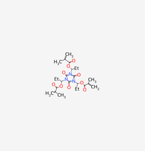 C=C(C)C(=O)OC(CC)n1c(=O)n(C(CC)OC(=O)C(=C)C)c(=O)n(C(CC)OC(=O)C(=C)C)c1=O